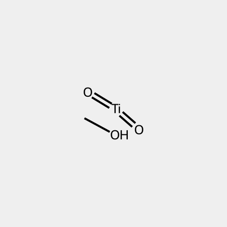 CO.[O]=[Ti]=[O]